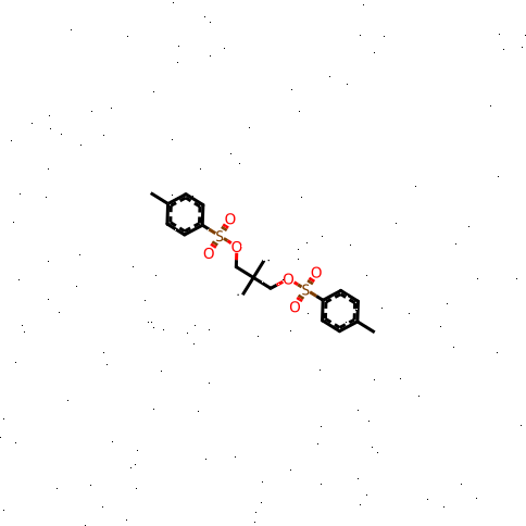 [CH2]C([CH2])(COS(=O)(=O)c1ccc(C)cc1)COS(=O)(=O)c1ccc(C)cc1